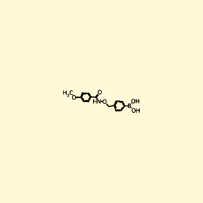 COc1ccc(C(=O)NOCc2ccc(B(O)O)cc2)cc1